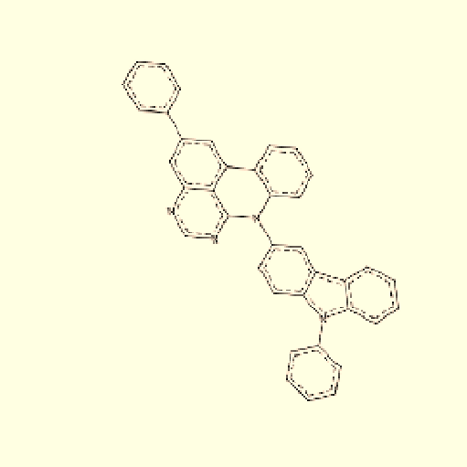 c1ccc(-c2cc3c4c(ncnc4c2)N(c2ccc4c(c2)c2ccccc2n4-c2ccccc2)c2ccccc2-3)cc1